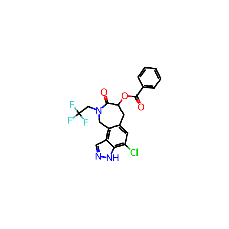 O=C(OC1Cc2cc(Cl)c3[nH]ncc3c2CN(CC(F)(F)F)C1=O)c1ccccc1